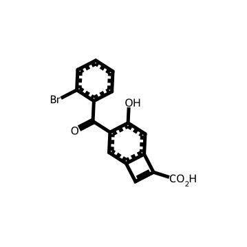 O=C(O)C1=Cc2cc(C(=O)c3ccccc3Br)c(O)cc21